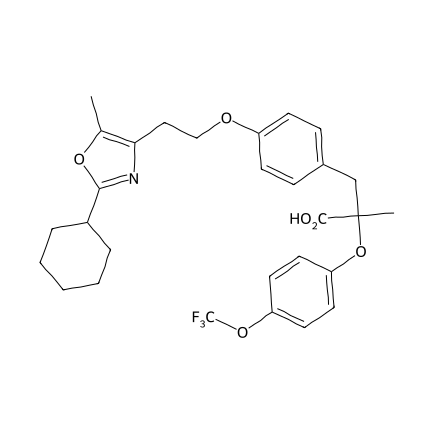 Cc1oc(C2CCCCC2)nc1CCOc1ccc(CC(C)(Oc2ccc(OC(F)(F)F)cc2)C(=O)O)cc1